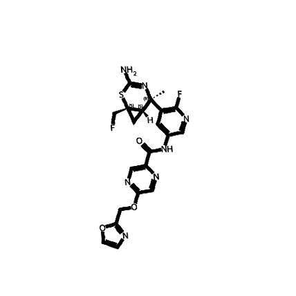 C[C@@]1(c2cc(NC(=O)c3cnc(OCc4ncco4)cn3)cnc2F)N=C(N)S[C@@]2(CF)C[C@H]21